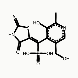 Cc1ncc(CO)c(C(=C2SC(=S)NC2=O)P(=O)(O)O)c1O